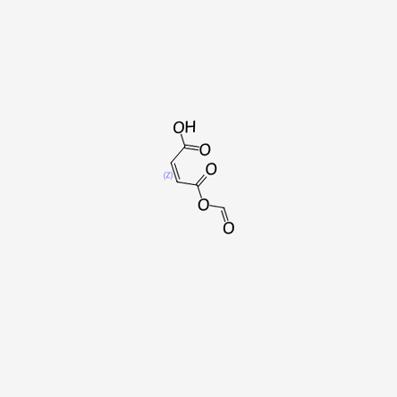 O=COC(=O)/C=C\C(=O)O